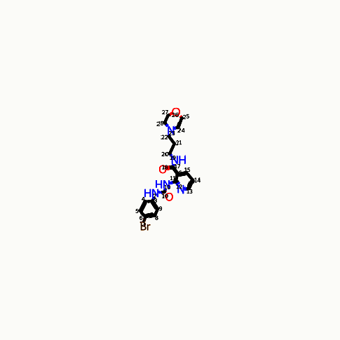 O=C(Nc1ccc(Br)cc1)Nc1ncccc1C(=O)NCCCN1CCOCC1